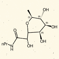 CCCNC(=O)C(O)C1O[C@@H](C)[C@H](O)[C@@H](O)[C@H]1O